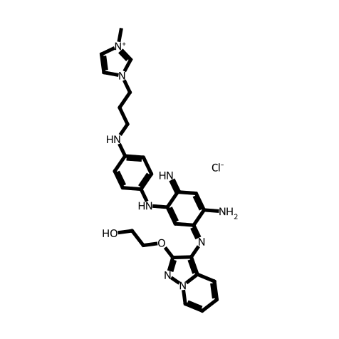 C[n+]1ccn(CCCNc2ccc(NC3=CC(=Nc4c(OCCO)nn5ccccc45)C(N)=CC3=N)cc2)c1.[Cl-]